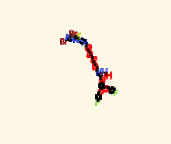 OC(CNCCOCCOCCOCCOCCN1CCN(c2nc(-n3cc(Br)nc3Br)cs2)CC1)COc1ccc(OCc2ccc(F)cc2)c(OCc2ccc(F)cc2)c1